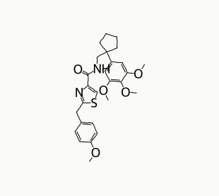 COc1ccc(Cc2nc(C(=O)NCC3(c4cc(OC)c(OC)c(OC)c4)CCCC3)cs2)cc1